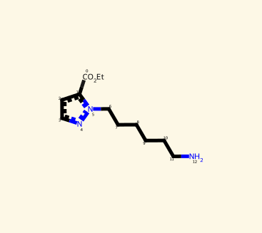 CCOC(=O)c1ccnn1CCCCCCN